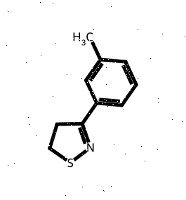 Cc1cccc(C2=NSCC2)c1